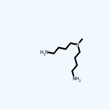 CN(CCCCN)CCCCN